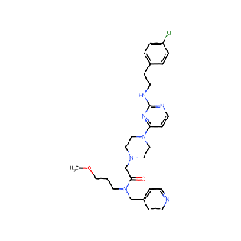 COCCCN(Cc1ccncc1)C(=O)CN1CCN(c2ccnc(NCCc3ccc(Cl)cc3)n2)CC1